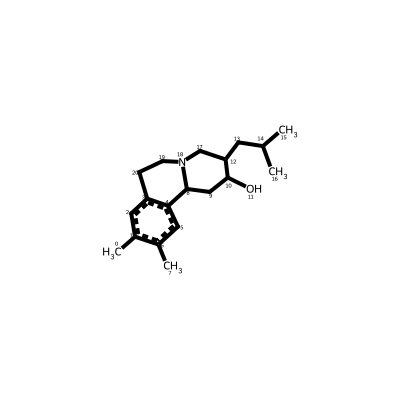 Cc1cc2c(cc1C)C1CC(O)C(CC(C)C)CN1CC2